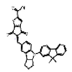 CC1(C)c2ccccc2-c2ccc(N3c4ccc(/C=C5\C(=O)c6cc(C(=O)O)sc6C5=O)cc4C4CCCC43)cc21